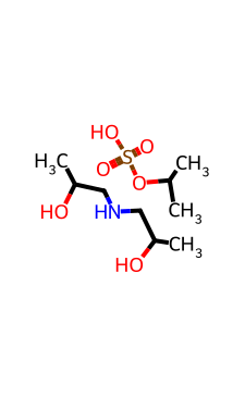 CC(C)OS(=O)(=O)O.CC(O)CNCC(C)O